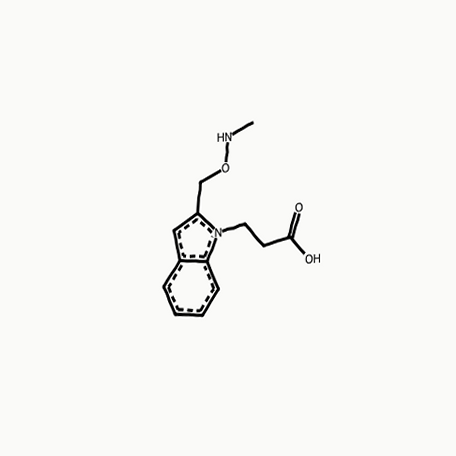 CNOCc1cc2ccccc2n1CCC(=O)O